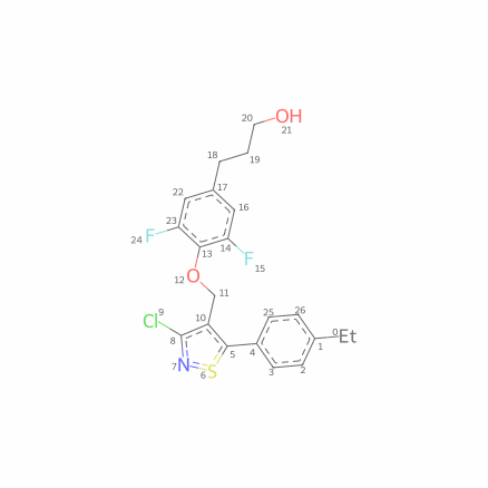 CCc1ccc(-c2snc(Cl)c2COc2c(F)cc(CCCO)cc2F)cc1